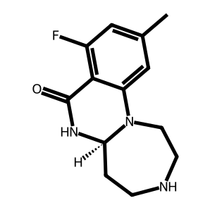 Cc1cc(F)c2c(c1)N1CCNCC[C@H]1NC2=O